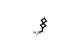 NCC1CC2(CCC2)C1